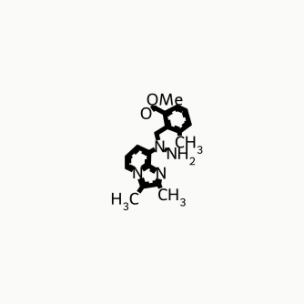 COC(=O)c1cccc(C)c1CN(N)c1cccn2c(C)c(C)nc12